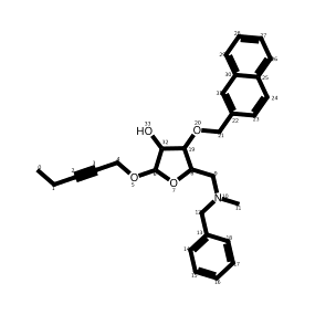 CCC#CCOC1OC(CN(C)Cc2ccccc2)C(OCc2ccc3ccccc3c2)C1O